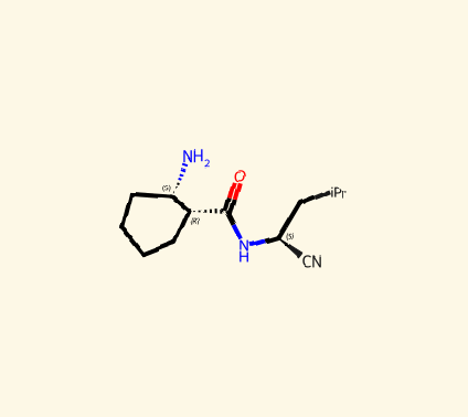 CC(C)C[C@@H](C#N)NC(=O)[C@@H]1CCCC[C@@H]1N